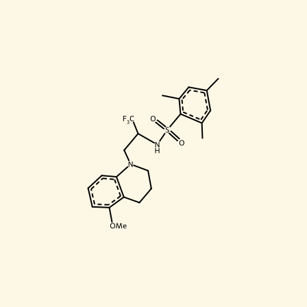 COc1cccc2c1CCCN2CC(NS(=O)(=O)c1c(C)cc(C)cc1C)C(F)(F)F